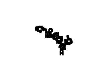 Cc1cccc(-c2n[nH]cc2-c2ccc3ncc(NC(=O)CCN4CCOCC4)cc3n2)n1